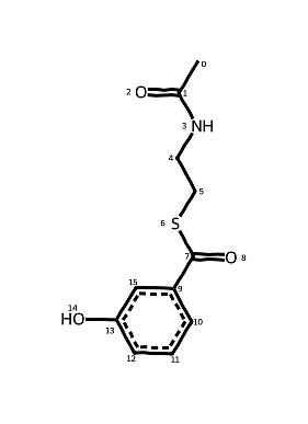 CC(=O)NCCSC(=O)c1cccc(O)c1